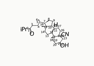 CC(C)C(=O)CC[C@@H](C)[C@H]1CC[C@H]2C3=C(CC[C@]12C)[C@@]1(C)CC[C@H](O)C[C@]1(C#N)CC3